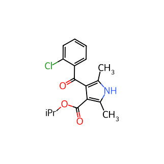 Cc1[nH]c(C)c(C(=O)c2ccccc2Cl)c1C(=O)OC(C)C